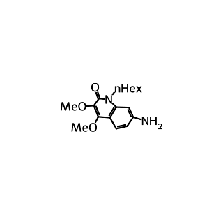 CCCCCCn1c(=O)c(OC)c(OC)c2ccc(N)cc21